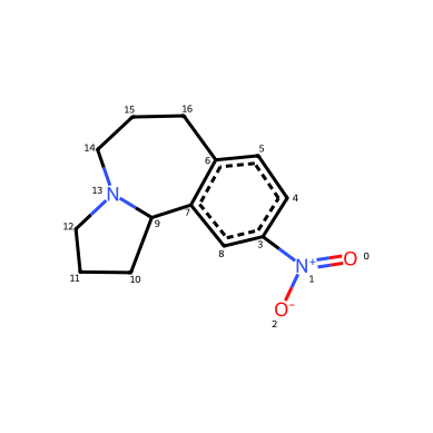 O=[N+]([O-])c1ccc2c(c1)C1CCCN1CCC2